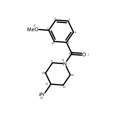 COc1cccc(C(=O)N2CCC(C(C)C)CC2)c1